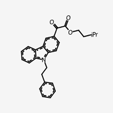 CC(C)CCOC(=O)C(=O)c1ccc2c(c1)c1ccccc1n2CCc1ccccc1